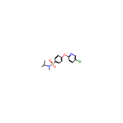 CC(C)N(C)S(=O)(=O)c1ccc(Oc2ccc(Br)cn2)cc1